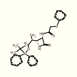 C[C@H](CO[Si](c1ccccc1)(c1ccccc1)C(C)(C)C)[C@H]1NC(=O)[C@H]1NC(=O)COc1ccccc1